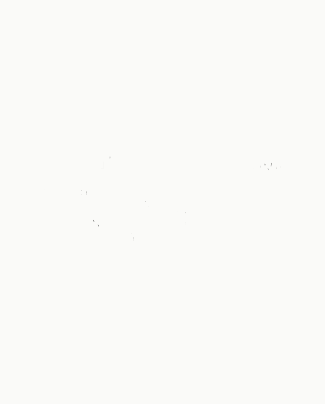 COCCOCCN(C)C(=O)I